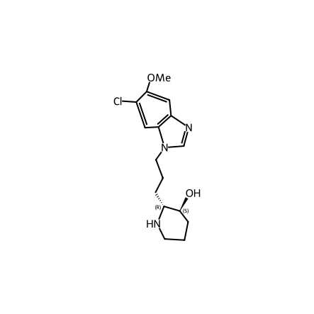 COc1cc2ncn(CCC[C@H]3NCCC[C@@H]3O)c2cc1Cl